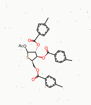 CC(=O)OC1S[C@H](COC(=O)c2ccc(C)cc2)[C@H](OC(=O)c2ccc(C)cc2)[C@H]1OC(=O)c1ccc(C)cc1